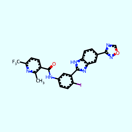 Cc1nc(C(F)(F)F)ccc1C(=O)Nc1ccc(I)c(-c2nc3cc(-c4ncon4)ccc3[nH]2)c1